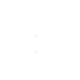 CC(C)(C)C(=O)N1CCCCC1C(F)(F)F